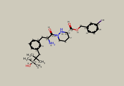 CC(C)(Cc1cccc(C[C@H](N)C(=O)N2CCC[C@@H](C(=O)OCc3cccc(I)c3)N2)c1)[Si](C)(C)O